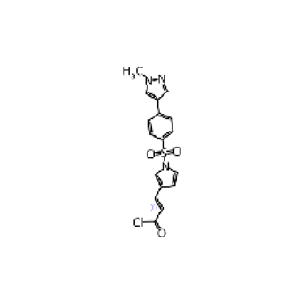 Cn1cc(-c2ccc(S(=O)(=O)n3ccc(/C=C/C(=O)Cl)c3)cc2)cn1